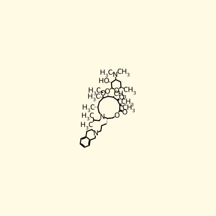 CO[C@]1(C)C[C@@H](C)CN(CC(C)C)[C@@H](CCCN2CCc3ccccc3C2)COC(=O)C(C)(C)C(=O)[C@H](C)[C@H]1O[C@@H]1O[C@H](C)C[C@H](N(C)C)[C@H]1O